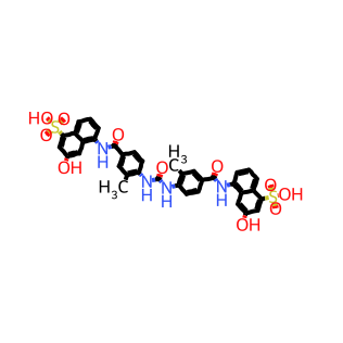 Cc1cc(C(=O)Nc2cccc3c(S(=O)(=O)O)cc(O)cc23)ccc1NC(=O)Nc1ccc(C(=O)Nc2cccc3c(S(=O)(=O)O)cc(O)cc23)cc1C